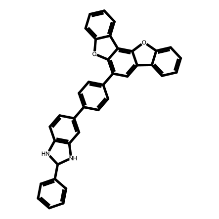 c1ccc(C2Nc3ccc(-c4ccc(-c5cc6c7ccccc7oc6c6c5oc5ccccc56)cc4)cc3N2)cc1